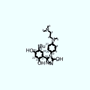 CN(C)CCN(C)c1ccc(-n2c(O)nnc2-c2cc(C(C)(C)C)c(O)cc2O)cc1